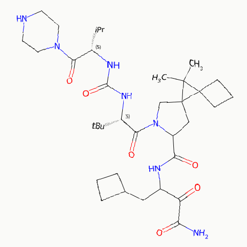 CC(C)[C@H](NC(=O)N[C@H](C(=O)N1CC2(CC1C(=O)NC(CC1CCC1)C(=O)C(N)=O)C(C)(C)C21CCC1)C(C)(C)C)C(=O)N1CCNCC1